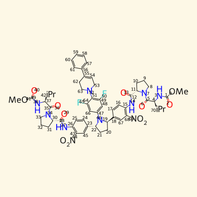 COC(=O)N[C@H](C(=O)N1CCC[C@H]1C(=O)Nc1ccc([C@H]2CC[C@H](c3ccc(NC(=O)[C@@H]4CCCN4C(=O)[C@@H](NC(=O)OC)C(C)C)c([N+](=O)[O-])c3)N2c2cc(F)c(N3CC=C(c4ccccc4)CC3)c(F)c2)cc1[N+](=O)[O-])C(C)C